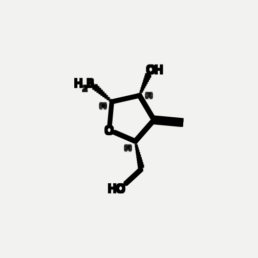 B[C@H]1O[C@@H](CO)C(=C)[C@H]1O